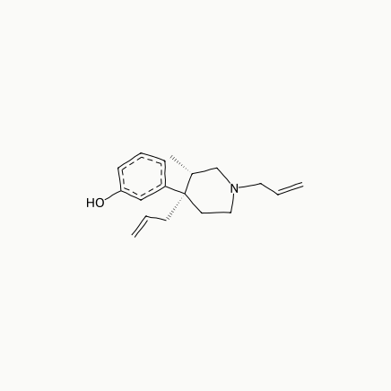 C=CCN1CC[C@@](CC=C)(c2cccc(O)c2)[C@H](C)C1